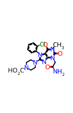 Cn1c(=O)c2c(nc(N3CCN(C(=O)O)CC3)n2-c2ccccc2Cl)n(CC(N)=O)c1=O